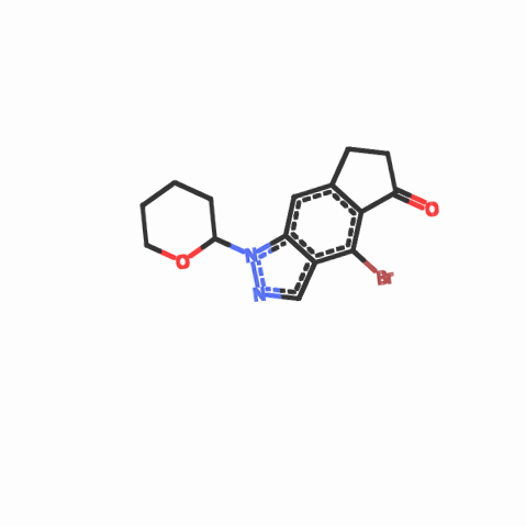 O=C1CCc2cc3c(cnn3C3CCCCO3)c(Br)c21